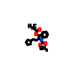 CCC(=O)Oc1c(CCC2CCCC2)n(C(=O)OC)c2ccccc12